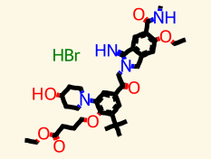 Br.CCOC(=O)CCCOc1c(N2CCC(O)CC2)cc(C(=O)CN2Cc3cc(OCC)c(C(=O)NC)cc3C2=N)cc1C(C)(C)C